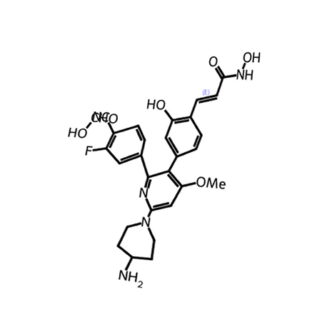 COc1cc(N2CCC(N)CC2)nc(-c2ccc(C#N)c(F)c2)c1-c1ccc(/C=C/C(=O)NO)c(O)c1.O=CO